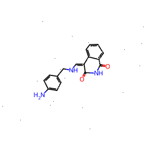 Nc1ccc(CN/C=C2\C(=O)NC(=O)c3ccccc32)cc1